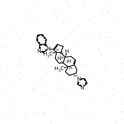 C[C@]12CC[C@@H](n3ccnc3)CC1=CC[C@@H]1[C@@H]2CC[C@]2(C)C(n3cnc4ccccc43)=CC[C@@H]12